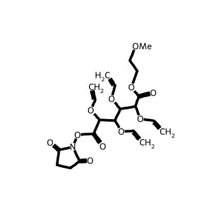 C=COC(C(=O)OCCOC)C(OC=C)C(OC=C)C(OC=C)C(=O)ON1C(=O)CCC1=O